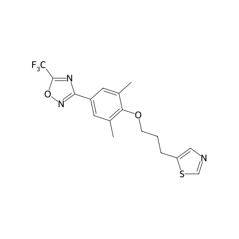 Cc1cc(-c2noc(C(F)(F)F)n2)cc(C)c1OCCCc1cncs1